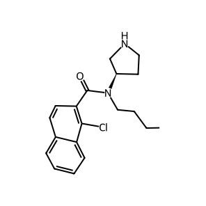 CCCCN(C(=O)c1ccc2ccccc2c1Cl)[C@@H]1CCNC1